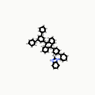 CCc1nc2ccccc2n1-c1ccccc1-c1ccc(-c2c3ccccc3c(-c3cc(-c4ccccc4)cc(-c4ccccc4)c3)c3ccccc23)cc1